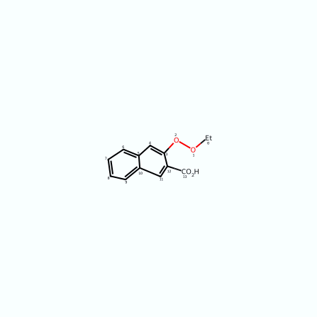 CCOOc1cc2ccccc2cc1C(=O)O